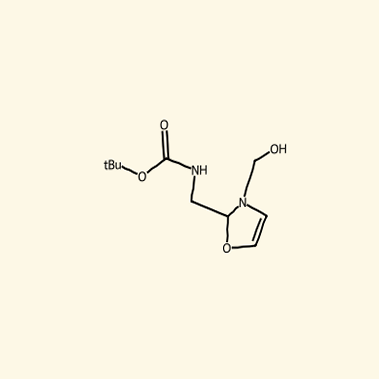 CC(C)(C)OC(=O)NCC1OC=CN1CO